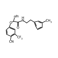 CCCC(Oc1ccc(C#N)c(C(F)(F)F)c1)C(=O)NCCc1cccc(C)c1